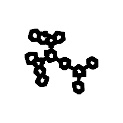 c1ccc(-c2cc(-c3ccc(-c4cc(-n5c6ccccc6c6cc7ccccc7cc65)nc(-n5c6ccccc6c6cc7ccccc7cc65)c4)cc3)nc(-c3ccccc3)n2)cc1